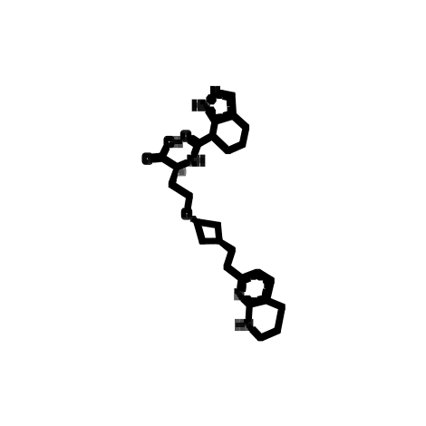 O=C(N[C@@H](CCO[C@H]1C[C@H](CCc2ccc3c(n2)NCCC3)C1)C(=O)O)C1CCCc2cn[nH]c21